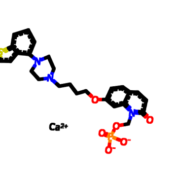 O=c1ccc2ccc(OCCCCN3CCN(c4cccc5sccc45)CC3)cc2n1COP(=O)([O-])[O-].[Ca+2]